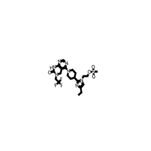 CCc1cn(CCOS(C)(=O)=O)c(C2CCN(c3ncnc4c3CN(CC(F)(F)F)C(=O)N4)CC2)n1